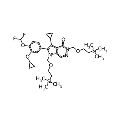 C[Si](C)(C)CCOCn1ncc2c(c(C3CC3)c(-c3ccc(OC(F)F)c(OC4CC4)c3)n2COCC[Si](C)(C)C)c1=O